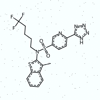 Cc1c(N(CCCCC(F)(F)F)S(=O)(=O)c2ccc(-c3nnn[nH]3)nc2)sc2ccccc12